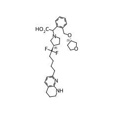 O=C(O)C(c1ccccc1CO[C@H]1CCOC1)N1CC[C@@H](C(F)(F)CCCCc2ccc3c(n2)NCCC3)C1